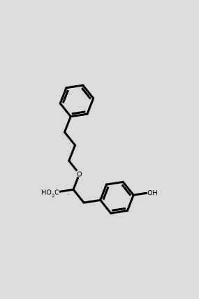 O=C(O)C(Cc1ccc(O)cc1)OCCCc1ccccc1